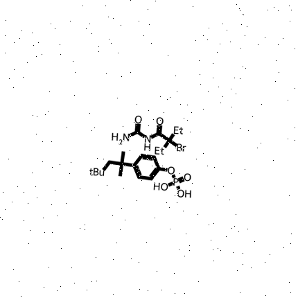 CC(C)(C)CC(C)(C)c1ccc(OP(=O)(O)O)cc1.CCC(Br)(CC)C(=O)NC(N)=O